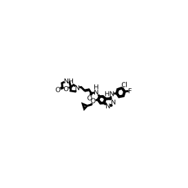 O=C(/C=C/CN1CCC2(CNCC(=O)O2)C1)Nc1cc2c(Nc3ccc(F)c(Cl)c3)ncnc2cc1OCC1CC1